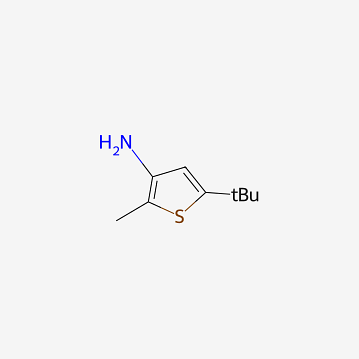 Cc1sc(C(C)(C)C)cc1N